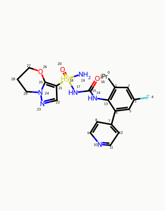 CC(C)c1cc(F)cc(-c2ccncc2)c1NC(=O)N[SH](N)(=O)c1cnn2c1OCCC2